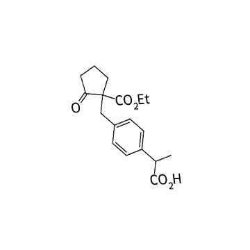 CCOC(=O)C1(Cc2ccc(C(C)C(=O)O)cc2)CCCC1=O